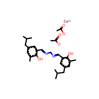 CC(=O)[O-].CC(=O)[O-].Cc1cc(CC(C)C)cc(C=NCN=Cc2cc(CC(C)C)cc(C)c2O)c1O.[Co+2]